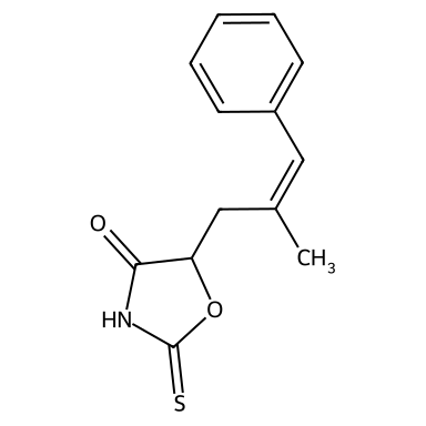 CC(=Cc1ccccc1)CC1OC(=S)NC1=O